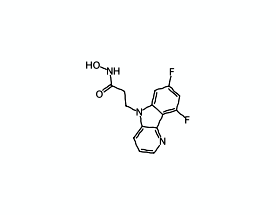 O=C(CCn1c2cccnc2c2c(F)cc(F)cc21)NO